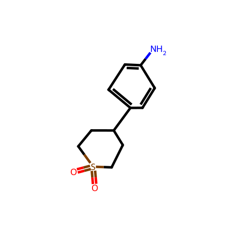 Nc1ccc(C2CCS(=O)(=O)CC2)cc1